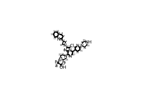 Clc1c(N2CC(c3ccc4ccccc4n3)C2)nc2c(N3CCOCC3)ncc(-c3ccc(N4CCNCC4)nc3)n12.O=C(O)C(F)(F)F